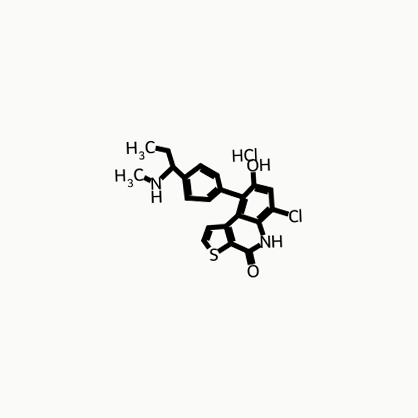 CCC(NC)c1ccc(-c2c(O)cc(Cl)c3[nH]c(=O)c4sccc4c23)cc1.Cl